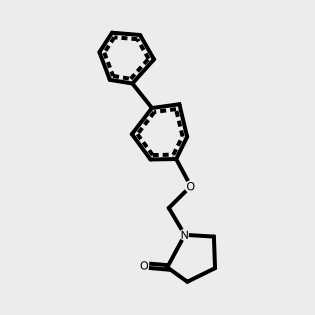 O=C1CCCN1COc1ccc(-c2ccccc2)cc1